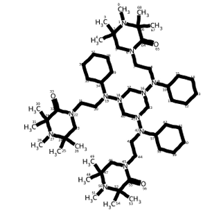 CN1C(C)(C)CN(CCN(C2CCCCC2)N2CN(N(CCN3CC(C)(C)N(C)C(C)(C)C3=O)C3CCCCC3)CN(N(CCN3CC(C)(C)N(C)C(C)(C)C3=O)C3CCCCC3)C2)C(=O)C1(C)C